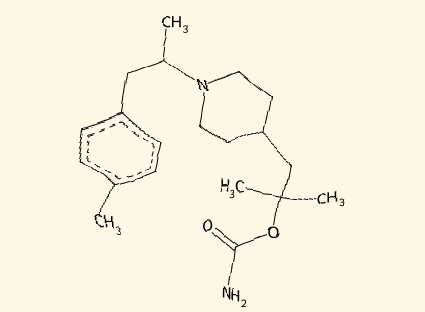 Cc1ccc(CC(C)N2CCC(CC(C)(C)OC(N)=O)CC2)cc1